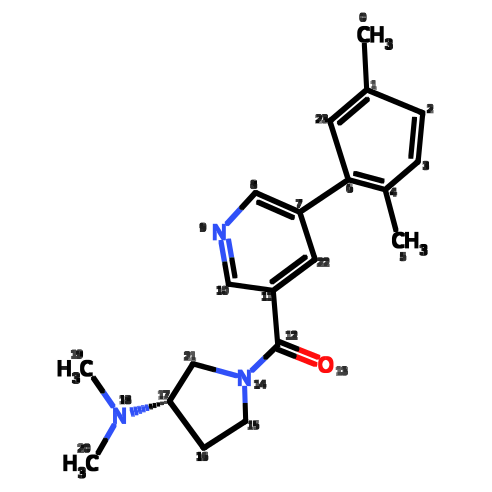 Cc1ccc(C)c(-c2cncc(C(=O)N3CC[C@H](N(C)C)C3)c2)c1